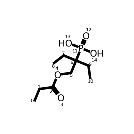 CCC(=O)OCC(CC)(CC)P(=O)(O)O